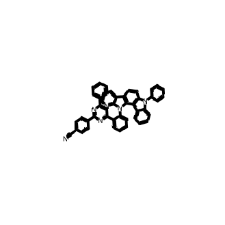 N#Cc1ccc(-c2nc(-c3ccccc3)cc(-c3ccccc3-n3c4ncccc4c4ccc5c(c6ccccc6n5-c5ccccc5)c43)n2)cc1